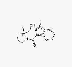 Cn1cc(C(=O)N2CCC[C@]2(C)CO)c2ccccc21